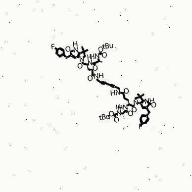 C[C@H](NC(=O)OC(C)(C)C)C(=O)N[C@@H](CCC(=O)NCC#CC#CCNC(=O)CC[C@H](NC(=O)[C@H](C)NC(=O)OC(C)(C)C)C(=O)N1CC(C)(C)c2[nH]c(=O)c(Cc3ccc(F)cc3)cc21)C(=O)N1CC(C)(C)c2[nH]c(=O)c(Cc3ccc(F)cc3)cc21